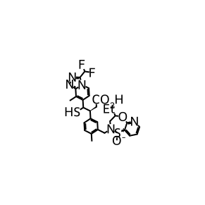 CCC1CN(Cc2cc([C@H](CC(=O)O)C(S)c3ccn4c(C(F)F)nnc4c3C)ccc2C)[S+]([O-])c2cccnc2O1